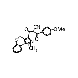 COc1ccc(C(=O)C(C#N)C(=O)c2nn(C)c3c2CSc2ccccc2-3)cc1